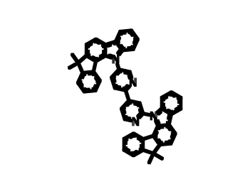 CC1(C)c2ccccc2-c2c1ccc1c3ccccc3n(-c3ccc(-c4ccnc(-n5c6ccccc6c6ccc7c(c65)-c5ccccc5C7(C)C)c4)nc3)c21